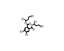 CCc1cc(C(=O)OC(CC)CCC(C)C)c(C(=O)OC(CC)CCC(C)C)cc1CC